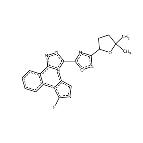 CC1(C)CCC(c2noc(-c3nnc4c5ccccc5n5c(F)ncc5n34)n2)O1